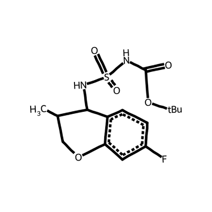 CC1COc2cc(F)ccc2C1NS(=O)(=O)NC(=O)OC(C)(C)C